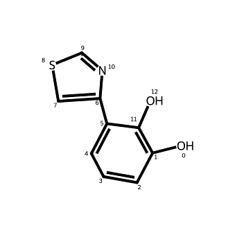 Oc1cccc(-c2cs[c]n2)c1O